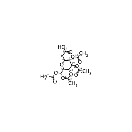 CC(=O)OC[C@H]1OC(CC(=O)O)[C@H](OC(C)=O)[C@@H](OC(C)=O)[C@@H]1OC(C)=O